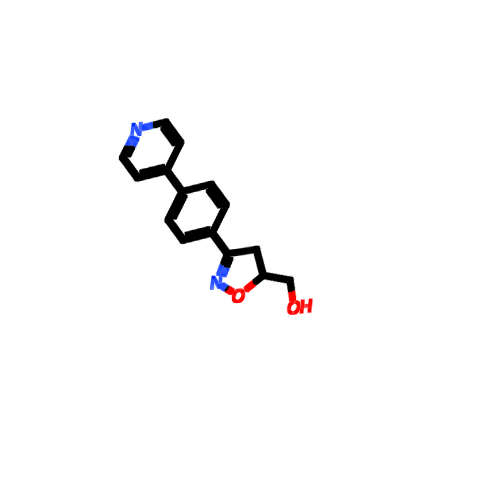 OCC1CC(c2ccc(-c3ccncc3)cc2)=NO1